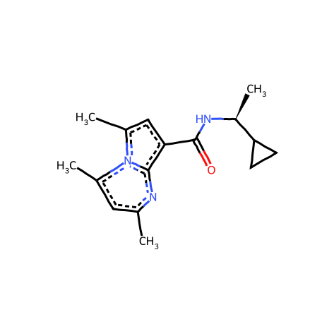 Cc1cc(C)n2c(C)cc(C(=O)N[C@@H](C)C3CC3)c2n1